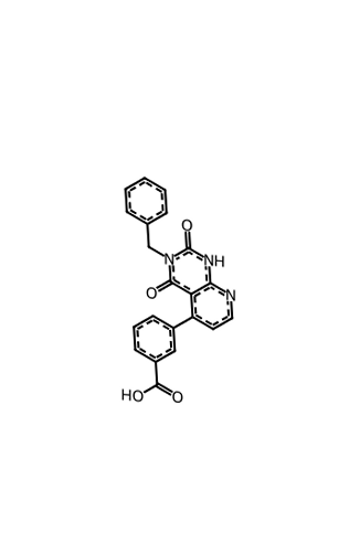 O=C(O)c1cccc(-c2ccnc3[nH]c(=O)n(Cc4ccccc4)c(=O)c23)c1